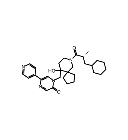 C[C@H](CC1CCCCC1)C(=O)N1CCC(O)(Cn2cc(-c3ccncc3)ncc2=O)C2(CCCC2)C1